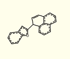 C1=CC(c2cc3ccccc3o2)c2cccc3cccc1c23